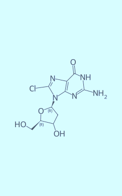 Nc1nc2c(nc(Cl)n2[C@H]2CC(O)[C@@H](CO)O2)c(=O)[nH]1